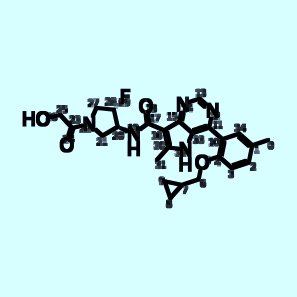 Cc1ccc(OCC2CC2)c(-c2ncnc3c(C(=O)N[C@H]4CN(C(=O)CO)C[C@@H]4F)c(C)[nH]c23)c1